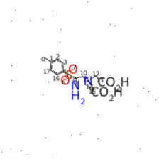 Cc1ccc(S(=O)(=O)C(N)CN(CC(=O)O)CC(=O)O)cc1